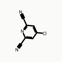 N#Cc1cc(Cl)cc(C#N)n1